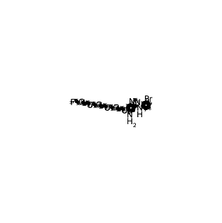 Nc1cc2c(Nc3cccc(Br)c3)ncnc2cc1OCCOCCOCCOCCOCCOCCF